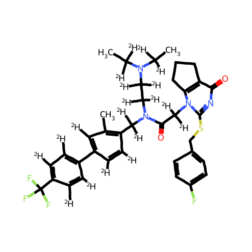 [2H]c1c([2H])c(C(F)(F)F)c([2H])c([2H])c1-c1c([2H])c([2H])c(C([2H])([2H])N(C(=O)C([2H])([2H])n2c(SCc3ccc(F)cc3)nc(=O)c3c2CCC3)C([2H])([2H])C([2H])([2H])N(C([2H])([2H])C)C([2H])([2H])C)c(C)c1[2H]